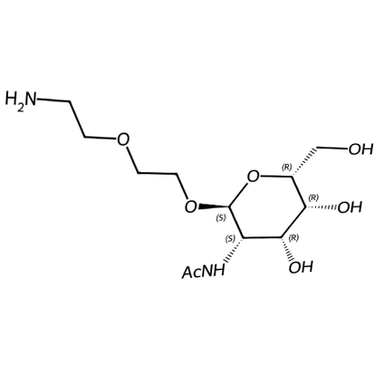 CC(=O)N[C@@H]1[C@@H](OCCOCCN)O[C@H](CO)[C@H](O)[C@@H]1O